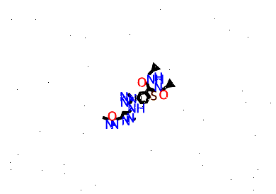 Cc1nnc(-c2cc(Nc3nncn3[C@H]3CCc4sc(NC(=O)C5CC5)c(C(=O)NCC5CC5)c4C3)n(C)n2)o1